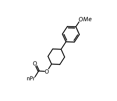 CCCC(=O)OC1CCC(c2ccc(OC)cc2)CC1